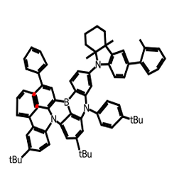 Cc1ccccc1-c1ccc2c(c1)C1(C)CCCCC1(C)N2c1ccc2c(c1)N(c1ccc(C(C)(C)C)cc1)c1cc(C(C)(C)C)cc3c1B2c1cc(-c2ccccc2)ccc1N3c1ccc(C(C)(C)C)cc1-c1ccccc1